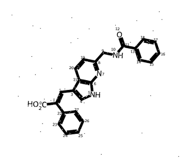 O=C(O)/C(=C/c1c[nH]c2nc(CNC(=O)c3ccccc3)ccc12)c1ccccc1